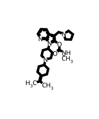 CNC(=O)Oc1c(CN2CCCC2)c2cccnc2n1C1CCN(C2CCC(=C(C)C)CC2)CC1